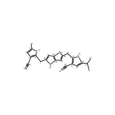 Cc1cc(C#N)c(Cc2cc3sc(Cc4sc(C(C)C)cc4C#N)cc3s2)s1